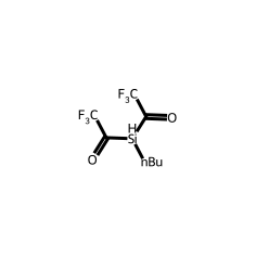 CCCC[SiH](C(=O)C(F)(F)F)C(=O)C(F)(F)F